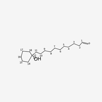 C=CCCCCCCCCCCC1(O)CCCCC1